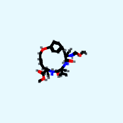 BOC=N[C@H]1Cc2ccc(cc2)OCC=CC[C@@H](C(=O)OC)NC(=O)[C@H](C(C)C)NC1=O